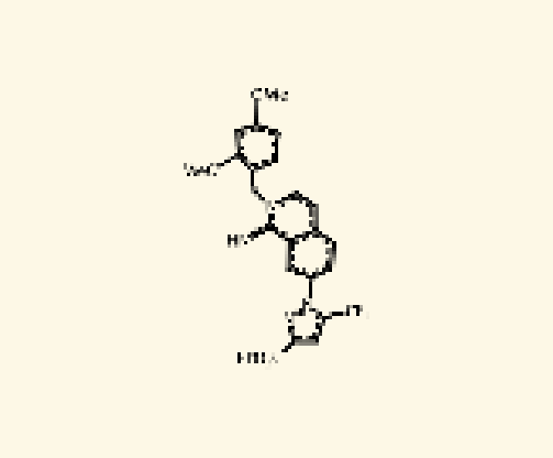 CCOC(=O)c1cc(C(F)(F)F)n(-c2ccc3ccn(Cc4ccc(OC)cc4OC)c(=N)c3c2)n1